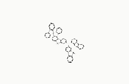 CC1(C)c2ccccc2-c2ccc(N(c3ccc4c(c3)C(C)(C)c3ccc5c(c3-4)-c3ccccc3C53c4ccccc4-c4ccccc43)c3cccc4c3oc3ccccc34)cc21